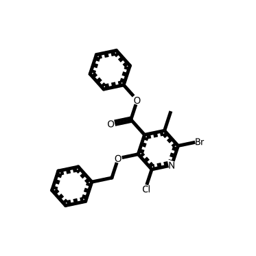 Cc1c(Br)nc(Cl)c(OCc2ccccc2)c1C(=O)Oc1ccccc1